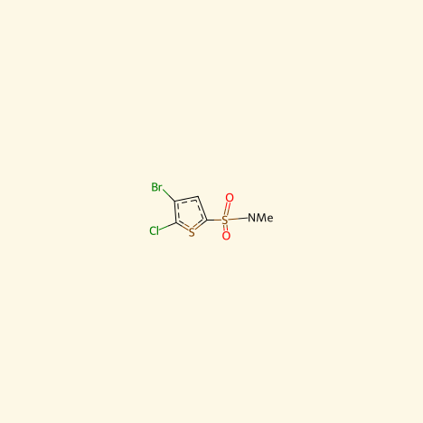 CNS(=O)(=O)c1cc(Br)c(Cl)s1